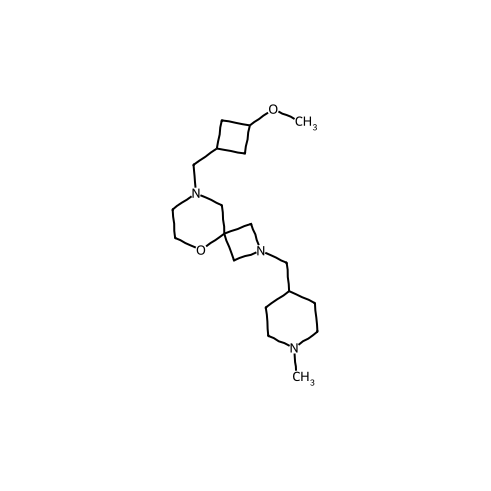 COC1CC(CN2CCOC3(C2)CN(CC2CCN(C)CC2)C3)C1